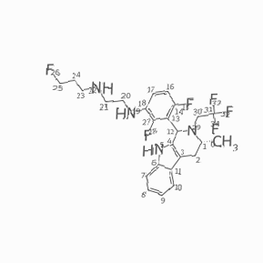 C[C@@H]1Cc2c([nH]c3ccccc23)C(c2c(F)ccc(NCCNCCCF)c2F)N1CC(F)(F)F